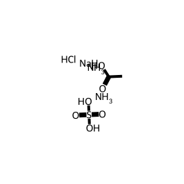 CC(=O)O.Cl.N.N.O=S(=O)(O)O.[NaH]